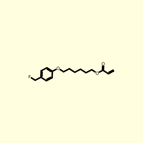 C=CC(=O)OCCCCCCOc1ccc(CF)cc1